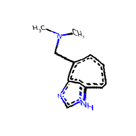 CN(C)Cc1cccc2[nH]cnc12